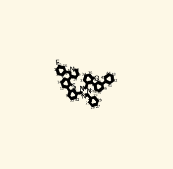 Fc1cccc(-c2ncccc2-c2cccc3c2sc2c(-c4nc(-c5ccccc5)nc(-c5cccc6oc7c(-c8ccccc8)cccc7c56)n4)cccc23)c1